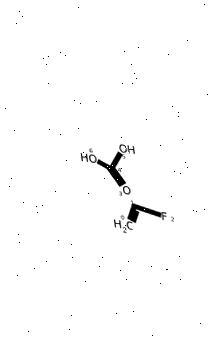 C=CF.O=C(O)O